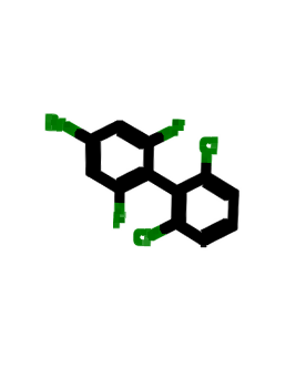 Fc1cc(Br)cc(F)c1-c1c(Cl)[c]ccc1Cl